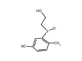 Cc1ccc(C#N)cc1[S+]([O-])CCO